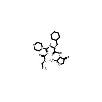 CCOC(=O)/N=C(/N[C@@H](CC1CCCCC1)C(=O)N[C@@H]1C(=O)CO[C@H]1C)N1CCOCC1